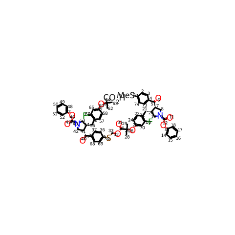 CSc1ccc(C(=O)[C@H]2CN(C(=O)Oc3ccccc3)C[C@@H]2Cc2ccc(OC(C)(C)C(=O)OCSc3ccc(C(=O)[C@@H]4CN(C(=O)Oc5ccccc5)C[C@H]4Cc4ccc(OC(C)(C)C(=O)O)cc4F)cc3)cc2F)cc1